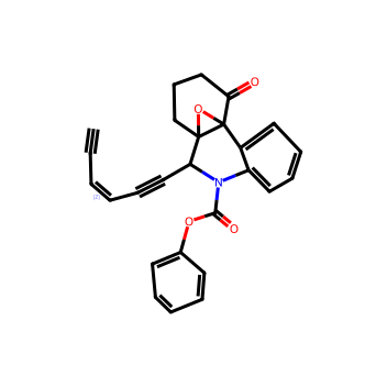 C#C/C=C\C#CC1N(C(=O)Oc2ccccc2)c2ccccc2C23OC12CCCC3=O